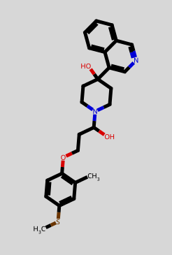 CSc1ccc(OCCC(O)N2CCC(O)(c3cncc4ccccc34)CC2)c(C)c1